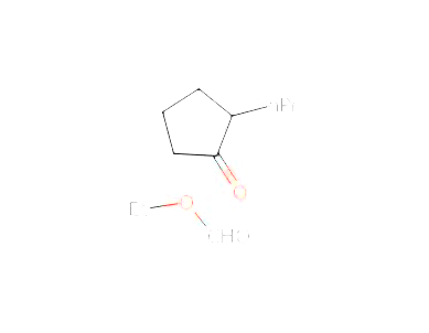 CCCC1CCCC1=O.CCOC=O